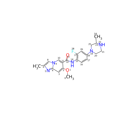 COc1cc2nc(C)cn2cc1C(=O)Nc1ccc(N2CCNC(C)C2)cc1F